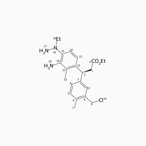 CCOC(=O)C[C@@H](c1ccc(C)c(CCl)c1)c1ccc(N(N)CC)c(N)c1C